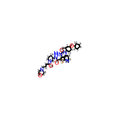 Cc1cc(Oc2ccccc2)ccc1N1C(=O)Nc2c(C(=O)NC3CCCN(C(=O)/C=C/CN4CCOCC4)C3)sc3nccc1c23